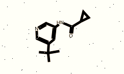 CC(C)(C)c1cncc(NC(=O)C2CC2)c1